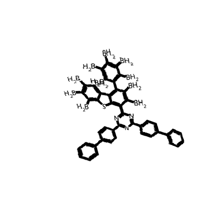 Bc1c(B)c(B)c(-c2c(B)c(B)c(-c3nc(-c4ccc(-c5ccccc5)cc4)nc(-c4ccc(-c5ccccc5)cc4)n3)c3sc4c(B)c(B)c(B)c(B)c4c23)c(B)c1B